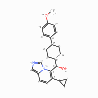 O[C@@H](c1c(C2CC2)ccc2cncn12)[C@H]1CC[C@H](c2ccc(OC(F)(F)F)cc2)CC1